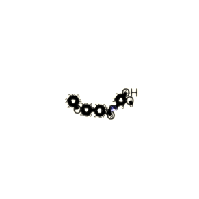 COc1cc(/C=C/C(=O)N2CCC(c3ccc(Oc4ccccc4)cc3)CC2)ccc1O